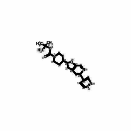 CC(C)(C)OC(=O)N1CCC(C2Cc3cc(-c4ccnnc4)ncc3O2)CC1